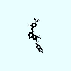 COc1cc2c(CCc3ccc([N+](=O)[O-])cc3F)ccnc2cc1OCC1CC2CN(C)CC2C1